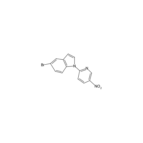 O=[N+]([O-])c1ccc(-n2ccc3cc(Br)ccc32)nc1